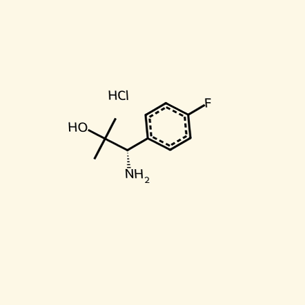 CC(C)(O)[C@@H](N)c1ccc(F)cc1.Cl